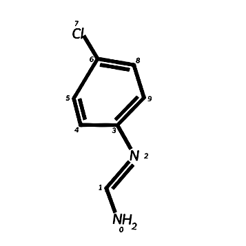 N[C]=Nc1ccc(Cl)cc1